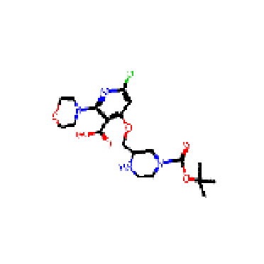 CC(C)(C)OC(=O)N1CCNC(COc2cc(Cl)nc(N3CCOCC3)c2C(=O)O)C1